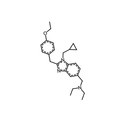 CCOc1ccc(Cc2nc3cc(CN(CC)CC)ccc3n2CC2CC2)cc1